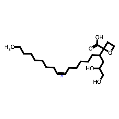 CCCCCCCC/C=C\CCCCCC(CC(O)CO)C1(C(=O)O)CCO1